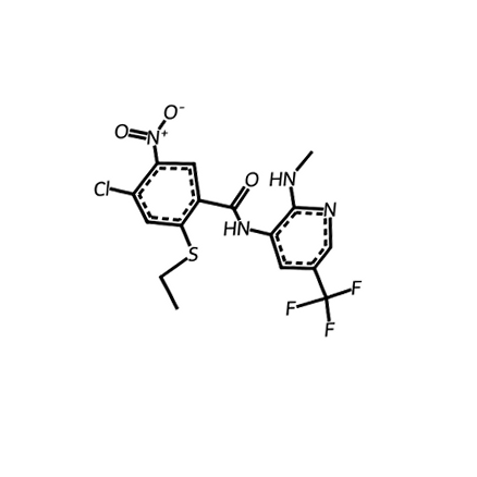 CCSc1cc(Cl)c([N+](=O)[O-])cc1C(=O)Nc1cc(C(F)(F)F)cnc1NC